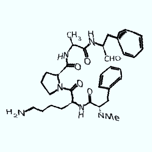 CN[C@@H](Cc1ccccc1)C(=O)N[C@@H](CCCCN)C(=O)N1CCC[C@H]1C(=O)N[C@@H](C)C(=O)N[C@H]([C]=O)Cc1ccccc1